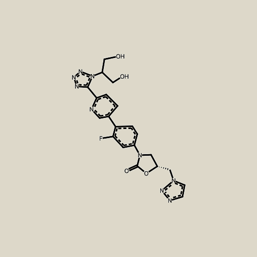 O=C1O[C@@H](Cn2ccnn2)CN1c1ccc(-c2ccc(-c3nnnn3C(CO)CO)nc2)c(F)c1